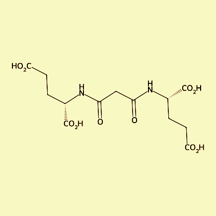 O=C(O)CC[C@H](NC(=O)CC(=O)N[C@@H](CCC(=O)O)C(=O)O)C(=O)O